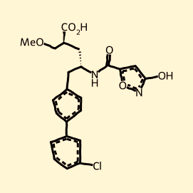 COC[C@H](C[C@@H](Cc1ccc(-c2cccc(Cl)c2)cc1)NC(=O)c1cc(O)no1)C(=O)O